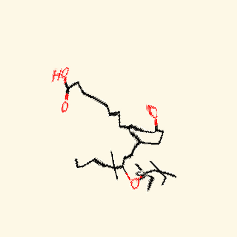 CCCCC(C)(C)C(CCC1CCC(=O)C1CC=CCCCC(=O)O)O[Si](C)(C)C(C)(C)C